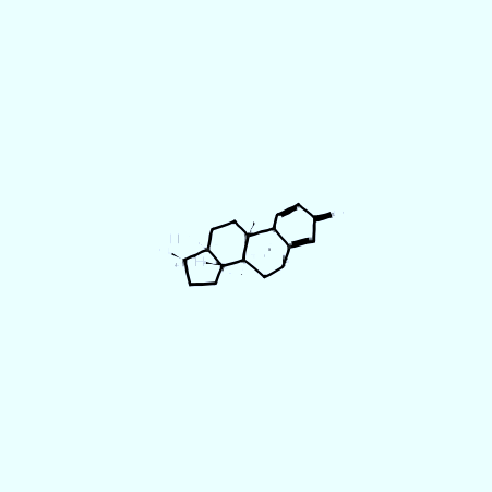 C[C@]12CC[C@H]3[C@@H](CCC4=CC(=O)C=C[C@@]43C)[C@@H]1CC[C@H]2O